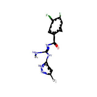 CC(C)N/C(=N/C(=O)c1ccc(F)c(F)c1)Nc1cc(C(F)(F)F)n[nH]1